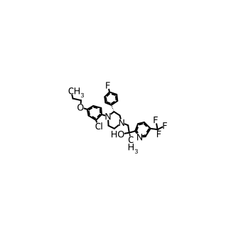 CCCOc1ccc(N2CCN(C[C@@](C)(O)c3ccc(C(F)(F)F)cn3)C[C@H]2c2ccc(F)cc2)c(Cl)c1